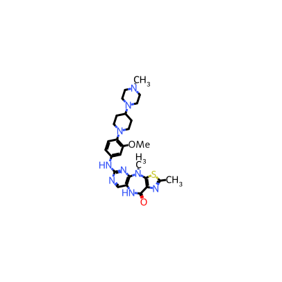 COc1cc(Nc2ncc3c(n2)N(C)c2sc(C)nc2C(=O)N3)ccc1N1CCC(N2CCN(C)CC2)CC1